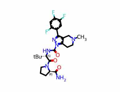 CN1CCc2c(c(-c3cc(F)c(F)cc3F)nn2C(=O)N[C@H](C(=O)N2CCC[C@@H]2C(N)=O)C(C)(C)C)C1